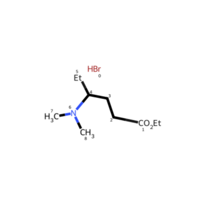 Br.CCOC(=O)CCC(CC)N(C)C